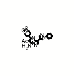 CC(=O)c1c(C2CCS(=O)(=O)CC2)nc2c(-c3cnn(-c4ccccc4)c3)cnn2c1N